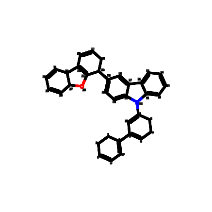 C1=CCCC(C2=CCCC(n3c4ccccc4c4cc(C5CC=CC6=C5OC5C=CC=CC65)ccc43)=C2)=C1